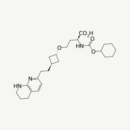 O=C(N[C@@H](CCO[C@H]1C[C@H](CCc2ccc3c(n2)NCCC3)C1)C(=O)O)OC1CCCCC1